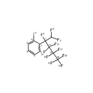 FC(F)C(F)(c1ccccc1I)C(F)(F)C(F)(F)C(F)(F)F